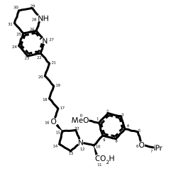 COc1ccc(COC(C)C)cc1[C@@H](C(=O)O)N1CC[C@@H](OCCCCCc2ccc3c(n2)NCCC3)C1